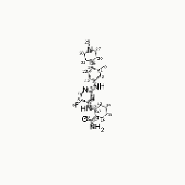 Cc1cc(Nc2ncc(F)c(N[C@H]3CCCC[C@H]3C(N)=O)n2)ccc1N1CCN(C)CC1